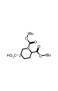 CC(C)(C)OC(=O)C1CC[C@H](C(=O)O)CN1C(=O)OC(C)(C)C